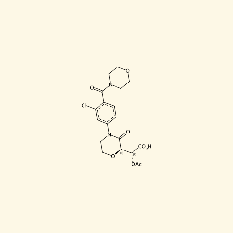 CC(=O)O[C@@H](C(=O)O)[C@H]1OCCN(c2ccc(C(=O)N3CCOCC3)c(Cl)c2)C1=O